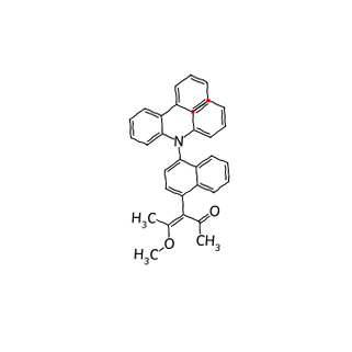 CO/C(C)=C(\C(C)=O)c1ccc(N(c2ccccc2)c2ccccc2-c2ccccc2)c2ccccc12